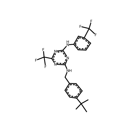 CC(C)(C)c1ccc(CNc2nc(Nc3cccc(C(F)(F)F)c3)nc(C(F)(F)F)n2)cc1